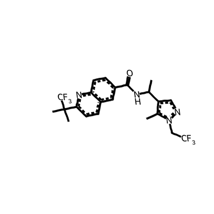 Cc1c(C(C)NC(=O)c2ccc3nc(C(C)(C)C(F)(F)F)ccc3c2)cnn1CC(F)(F)F